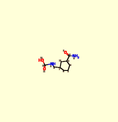 NC(=O)C1CCCC(CNC(=O)O)C1